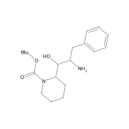 CC(C)(C)OC(=O)N1CCCCC1C(O)C(N)Cc1ccccc1